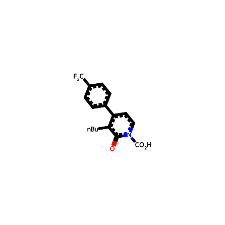 CCCCc1c(-c2ccc(C(F)(F)F)cc2)ccn(C(=O)O)c1=O